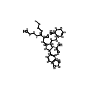 CCCCN(CCCO)C(=O)CN1C[C@H](c2ccc3c(c2)OCO3)[C@@H](C(=O)O)[C@@H]1CCn1ccccc1=O